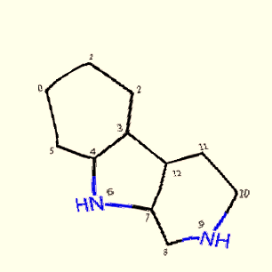 C1CCC2C(C1)NC1CNCCC12